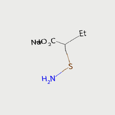 CCC(SN)C(=O)O.[Na]